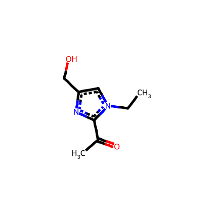 CCn1cc(CO)nc1C(C)=O